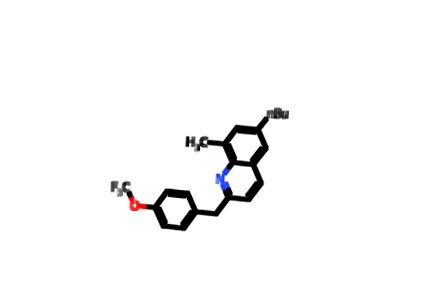 CCCCc1cc(C)c2nc(Cc3ccc(OC(F)(F)F)cc3)ccc2c1